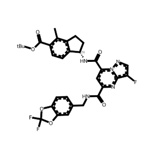 Cc1c(C(=O)OC(C)(C)C)ccc2c1CC[C@@H]2NC(=O)c1cc(C(=O)NCc2ccc3c(c2)OC(F)(F)O3)nc2c(F)cnn12